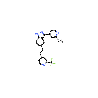 Cc1cc(-c2n[nH]c3ccc(C[CH]c4ccnc(C(F)(F)F)c4)cc23)ccn1